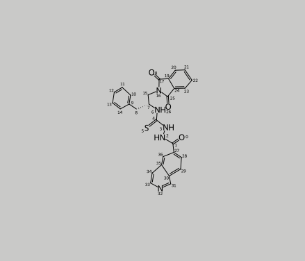 O=C(NNC(=S)N[C@H](Cc1ccccc1)CN1C(=O)c2ccccc2C1=O)c1ccc2cnccc2c1